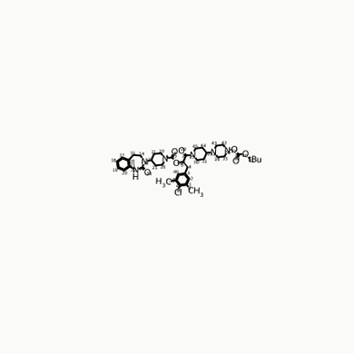 Cc1cc(C[C@@H](OC(=O)N2CCC(N3CCc4ccccc4NC3=O)CC2)C(=O)N2CCC(N3CCN(OC(=O)OC(C)(C)C)CC3)CC2)cc(C)c1Cl